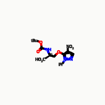 CC(C)n1ncc([N+](=O)[O-])c1OC[C@H](NC(=O)OC(C)(C)C)C(=O)O